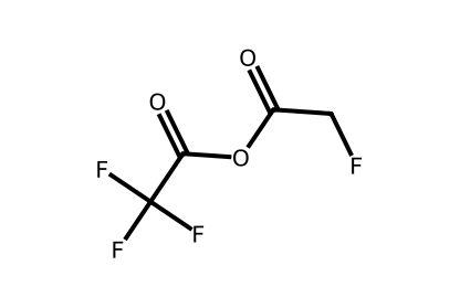 O=C(CF)OC(=O)C(F)(F)F